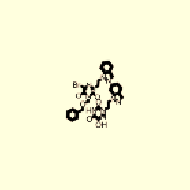 O=c1[nH]c(=O)n(CCn2ncc3ccccc32)nc1O.O=c1c(Br)nn(CCn2ncc3ccccc32)c(=O)n1COCc1ccccc1